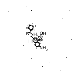 Nc1ccc(NCCNC(=O)c2ccccc2)c(S(=O)(=O)CCO)c1